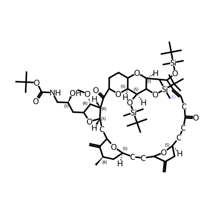 C=C1C[C@@H]2CCC(=O)C/C=C/C(O[Si](C)(C)C(C)(C)C)[C@@H]3OC4CCC(O[C@@H]4[C@H](O[Si](C)(C)C(C)(C)C)C3O[Si](C)(C)C(C)(C)C)C(=O)[C@@H]3[C@H](CC4O[C@@H](CCC1O2)C[C@@H](C)C4=C)OC(C[C@H](O)CNC(=O)OC(C)(C)C)[C@@H]3OC